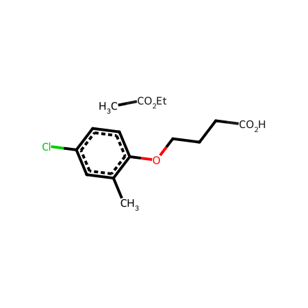 CCOC(C)=O.Cc1cc(Cl)ccc1OCCCC(=O)O